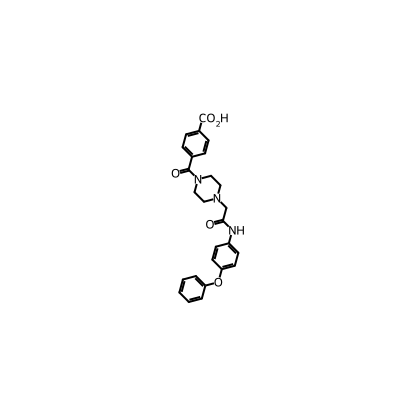 O=C(CN1CCN(C(=O)c2ccc(C(=O)O)cc2)CC1)Nc1ccc(Oc2ccccc2)cc1